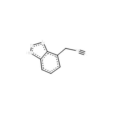 [C-]#[N+]Cc1cccc2[nH]nnc12